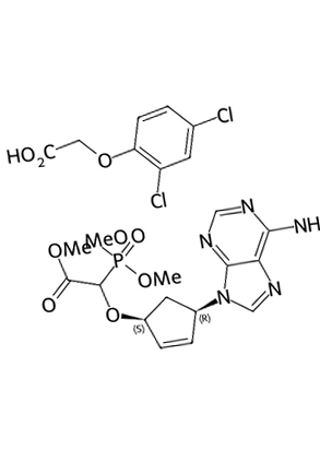 COC(=O)C(O[C@@H]1C=C[C@H](n2cnc3c(N)ncnc32)C1)P(=O)(OC)OC.O=C(O)COc1ccc(Cl)cc1Cl